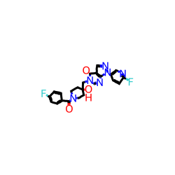 O=C(c1ccc(F)cc1)N1CCC(O)(Cn2cnc3c(cnn3-c3ccc(F)nc3)c2=O)CC1